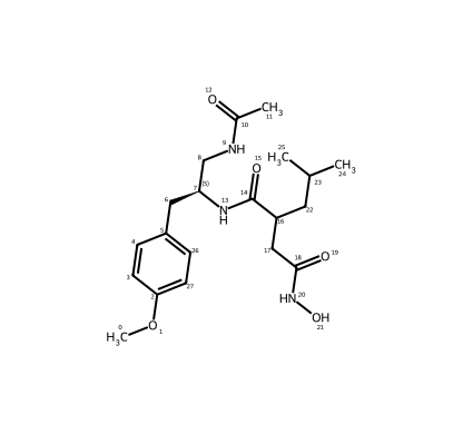 COc1ccc(C[C@@H](CNC(C)=O)NC(=O)C(CC(=O)NO)CC(C)C)cc1